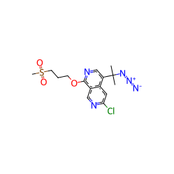 CC(C)(N=[N+]=[N-])c1cnc(OCCCS(C)(=O)=O)c2cnc(Cl)cc12